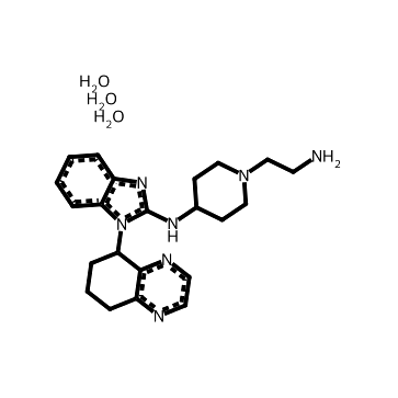 NCCN1CCC(Nc2nc3ccccc3n2C2CCCc3nccnc32)CC1.O.O.O